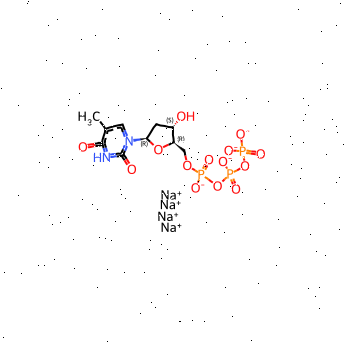 Cc1cn([C@H]2C[C@H](O)[C@@H](COP(=O)([O-])OP(=O)([O-])OP(=O)([O-])[O-])O2)c(=O)[nH]c1=O.[Na+].[Na+].[Na+].[Na+]